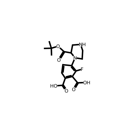 CC(C)(C)OC(=O)C1CNCCN1c1ccc(C(=O)O)c(C(=O)O)c1F